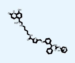 O=C(N[C@@H](c1ccccc1)c1cccc(OCc2ccc(C(=O)NCCCCNC[C@H](O)c3ccc(O)c4[nH]c(=O)ccc34)o2)c1)O[C@H]1CN2CCC1CC2